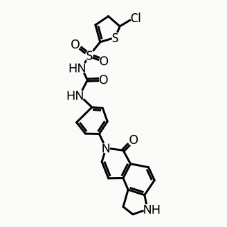 O=C(Nc1ccc(-n2ccc3c4c(ccc3c2=O)NCC4)cc1)NS(=O)(=O)C1=CCC(Cl)S1